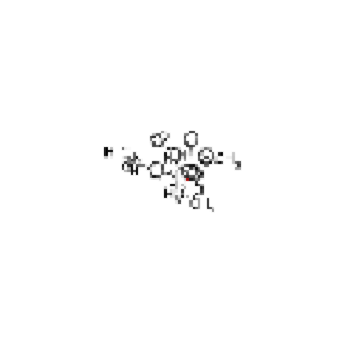 CCOc1cc(OC(C)C)c(F)c(C(Nc2ccc(-c3noc(C)n3)cc2)c2nc(-c3ccco3)cn2C(c2ccccc2)(c2ccccc2)c2ccccc2)c1